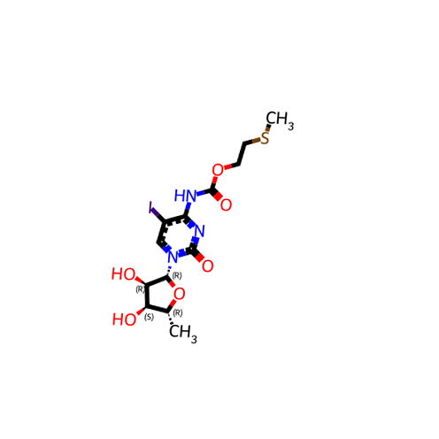 CSCCOC(=O)Nc1nc(=O)n([C@@H]2O[C@H](C)[C@@H](O)[C@H]2O)cc1I